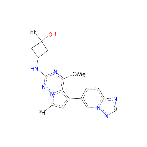 [2H]c1cc(-c2ccc3ncnn3c2)c2c(OC)nc(NC3CC(O)(CC)C3)nn12